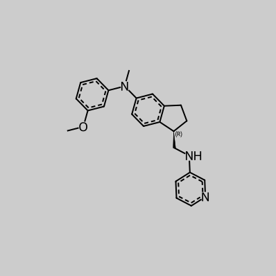 COc1cccc(N(C)c2ccc3c(c2)CC[C@H]3CNc2cccnc2)c1